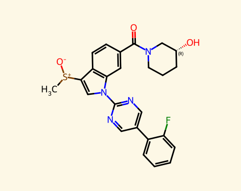 C[S+]([O-])c1cn(-c2ncc(-c3ccccc3F)cn2)c2cc(C(=O)N3CCC[C@@H](O)C3)ccc12